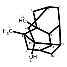 CC12CC3CC4C5CC(CC41O)CC2(O)C5C3